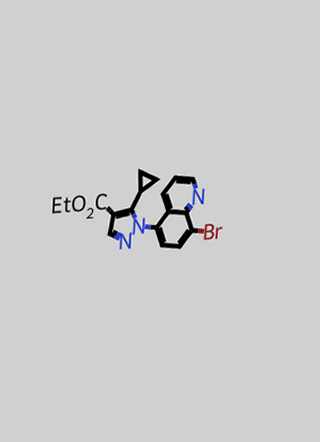 CCOC(=O)c1cnn(-c2ccc(Br)c3ncccc23)c1C1CC1